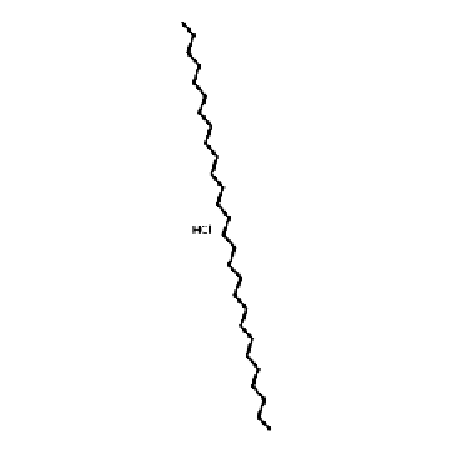 CCCCCCCCCCCCCCCCCCCCCCCCCCCC.Cl